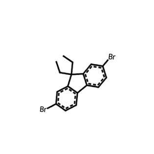 CCC1(CC)c2cc(Br)ccc2-c2ccc(Br)cc21